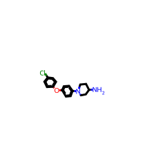 NC1CCN(c2ccc(Oc3ccc(Cl)cc3)cc2)CC1